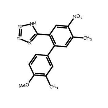 COc1ccc(-c2cc(C)c([N+](=O)[O-])cc2-c2nnn[nH]2)cc1C